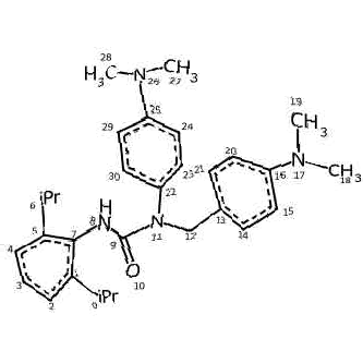 CC(C)c1cccc(C(C)C)c1NC(=O)N(Cc1ccc(N(C)C)cc1)c1ccc(N(C)C)cc1